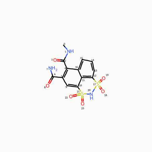 CNC(=O)c1c(C(N)=O)cc2c3c(cccc13)S(=O)(=O)NS2(=O)=O